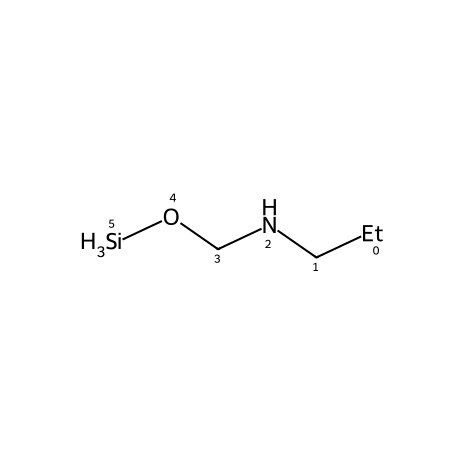 CCCNCO[SiH3]